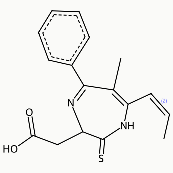 C/C=C\C1=C(C)C(c2ccccc2)=NC(CC(=O)O)C(=S)N1